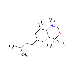 CC(C)CCC1CC(C)C2C(C1)C(C)(C)OCN2C